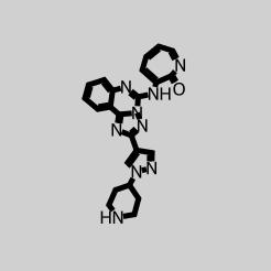 O=c1nccccc1Nc1nc2ccccc2c2nc(-c3cnn(C4CCNCC4)c3)nn12